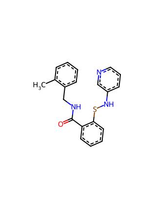 Cc1ccccc1CNC(=O)c1ccccc1SNc1cccnc1